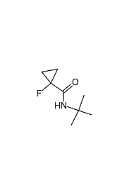 CC(C)(C)NC(=O)C1(F)CC1